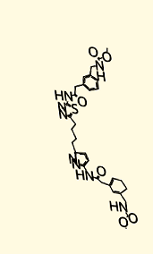 COC(=O)NCC1=CC(CC(=O)Nc2ccc(CCCCc3nnc(NC(=O)Cc4cccc(CNC(=O)OC)c4)s3)nn2)=CCC1